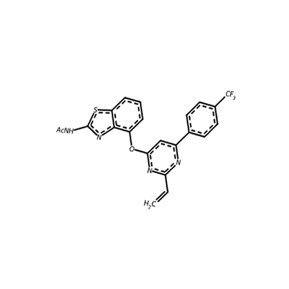 C=Cc1nc(Oc2cccc3sc(NC(C)=O)nc23)cc(-c2ccc(C(F)(F)F)cc2)n1